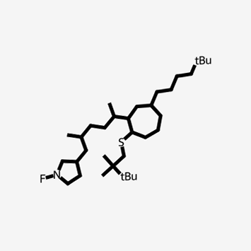 CC(CCC(C)C1CC(CCCCC(C)(C)C)CCCC1SCC(C)(C)C(C)(C)C)CC1CCN(F)C1